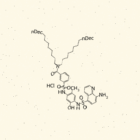 CCCCCCCCCCCCCCCCCCN(CCCCCCCCCCCCCCCCCC)C(=O)c1cccc(S(=O)(=O)Nc2cc(O)c(NS(=O)(=O)c3ccc(N)c4ncccc34)cc2C)c1.Cl